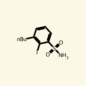 CCCCc1cccc(S(N)(=O)=O)c1I